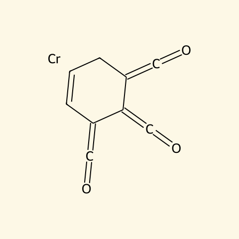 O=C=C1C=CCC(=C=O)C1=C=O.[Cr]